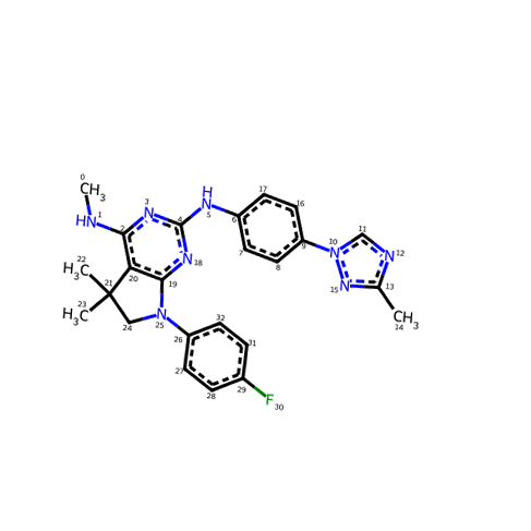 CNc1nc(Nc2ccc(-n3cnc(C)n3)cc2)nc2c1C(C)(C)CN2c1ccc(F)cc1